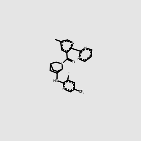 Cc1cnc(-c2ncccn2)c(C(=O)N2CC3CCC2C(Nc2ncc(C(F)(F)F)cc2F)C3)c1